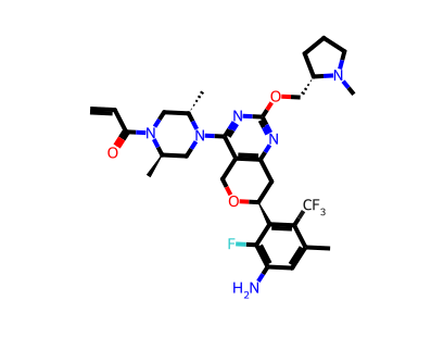 C=CC(=O)N1C[C@H](C)N(c2nc(OC[C@@H]3CCCN3C)nc3c2CO[C@H](c2c(F)c(N)cc(C)c2C(F)(F)F)C3)C[C@H]1C